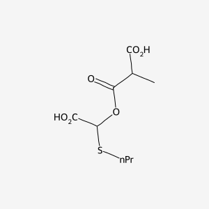 CCCSC(OC(=O)C(C)C(=O)O)C(=O)O